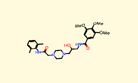 COc1cc(C(=O)NCC(O)CN2CCN(CC(=O)Nc3c(C)cccc3C)CC2)cc(OC)c1OC